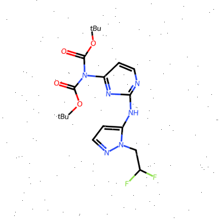 CC(C)(C)OC(=O)N(C(=O)OC(C)(C)C)c1ccnc(Nc2ccnn2CC(F)F)n1